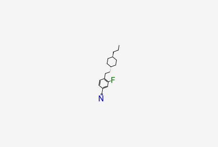 CCC[C@H]1CC[C@H](CCc2ccc(C#N)cc2F)CC1